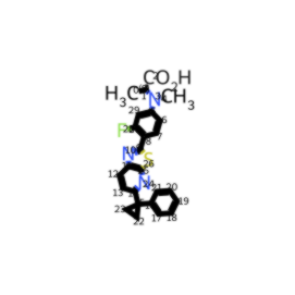 C[C@@H](C(=O)O)N(C)c1ccc(-c2nc3ccc(C4(c5ccccc5)CC4)nc3s2)c(F)c1